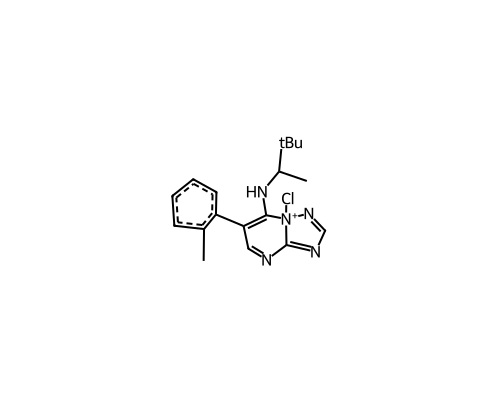 Cc1ccccc1C1=C(NC(C)C(C)(C)C)[N+]2(Cl)N=CN=C2N=C1